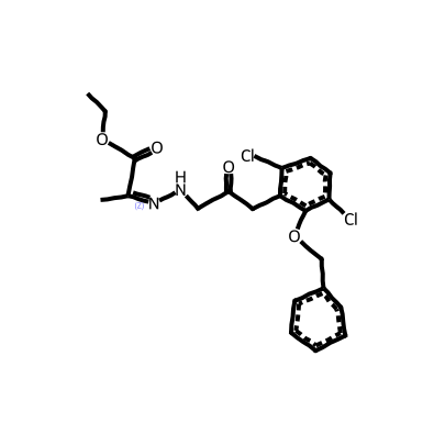 CCOC(=O)/C(C)=N\NCC(=O)Cc1c(Cl)ccc(Cl)c1OCc1ccccc1